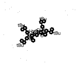 CC(C)(C)c1ccc(-c2ccc(N(c3ccc(-c4ccc(C(C)(C)C)c5ccccc45)cc3)c3cc4c(c5c3oc3ccccc35)-c3ccc5c(c3[Si]4(C)C)[Si](C)(C)c3cc(N(c4ccc(-c6ccc(C(C)(C)C)c7ccccc67)cc4)c4ccc(-c6ccc(C(C)(C)C)c7ccccc67)cc4)c4c(oc6ccccc64)c3-5)cc2)c2ccccc12